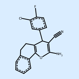 N#CC1=C(N)OC2=C(CCc3ccccc32)C1c1ccc(F)c(Cl)c1